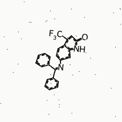 O=c1cc(C(F)(F)F)c2ccc(N=C(c3ccccc3)c3ccccc3)cc2[nH]1